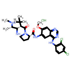 CN[C@@H](C)C(N)[C@@H](C(=O)N1CCC[C@H]1C(=O)Nc1cc2c(Nc3ccc(Cl)cc3Cl)ncnc2cc1OC)C(C)(C)C.Cl